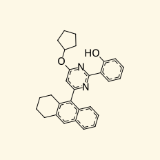 Oc1ccccc1-c1nc(OC2CCCC2)cc(-c2c3c(cc4ccccc24)CCCC3)n1